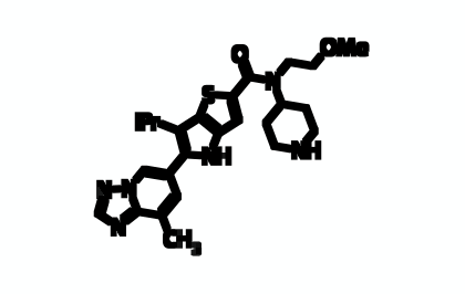 COCCN(C(=O)c1cc2[nH]c(-c3cc(C)c4ncnn4c3)c(C(C)C)c2s1)C1CCNCC1